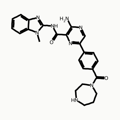 Cn1c(NC(=O)c2nc(-c3ccc(C(=O)N4CCCNCC4)cc3)cnc2N)nc2ccccc21